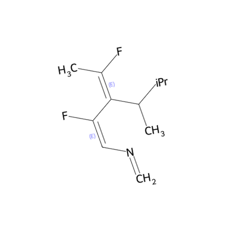 C=N/C=C(F)\C(=C(/C)F)C(C)C(C)C